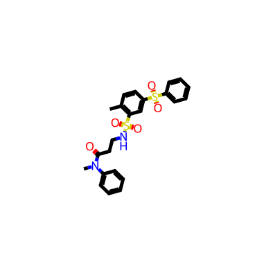 Cc1ccc(S(=O)(=O)c2ccccc2)cc1S(=O)(=O)NCCC(=O)N(C)c1ccccc1